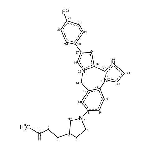 CNCCC1CCN(c2ccc3c(c2)Cn2cc(-c4ccc(F)cc4)cc2-c2nccn2-3)C1